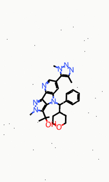 Cc1nnn(C)c1-c1cnc2c3nn(C)c(C(C)(C)O)c3n(C(c3ccccc3)C3CCOCC3)c2c1